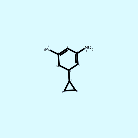 CC(C)C1=CC([N+](=O)[O-])=CC(C2CC2)C1